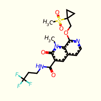 Cn1c(=O)c(C(=O)NCCC(F)(F)F)cc2ccnc(OCC3(S(C)(=O)=O)CC3)c21